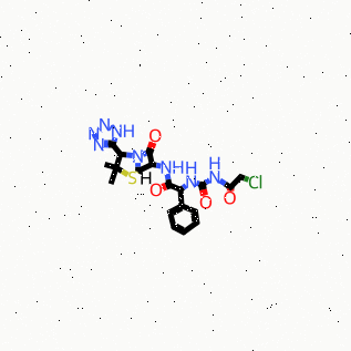 CC1(C)S[C@@H]2C(NC(=O)C(NC(=O)NC(=O)CCl)c3ccccc3)C(=O)N2C1c1nnn[nH]1